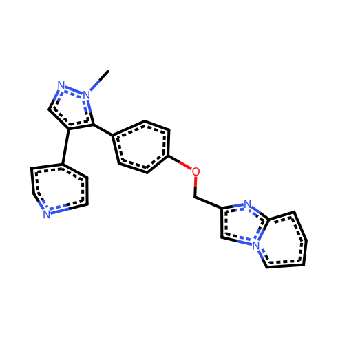 Cn1ncc(-c2ccncc2)c1-c1ccc(OCc2cn3ccccc3n2)cc1